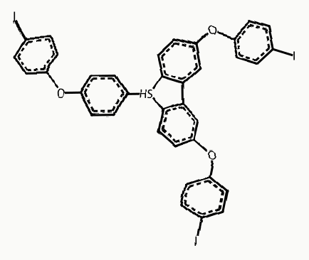 Ic1ccc(Oc2ccc([SH]3c4ccc(Oc5ccc(I)cc5)cc4-c4cc(Oc5ccc(I)cc5)ccc43)cc2)cc1